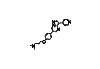 CN(C)CCCOc1ccc(-c2cnc3c(-c4ccncc4)cnn3c2)cc1